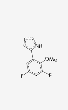 COc1c(F)cc(F)cc1-c1ccc[nH]1